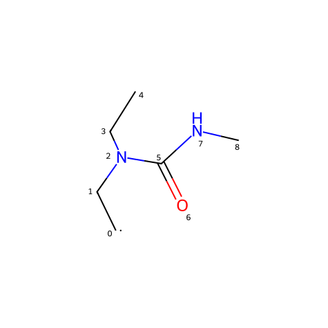 [CH2]CN(CC)C(=O)NC